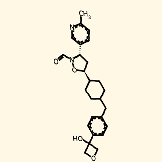 Cc1ccc([C@@H]2C[C@@H](C3CCC(Cc4ccc(C5(O)COC5)cc4)CC3)ON2C=O)cn1